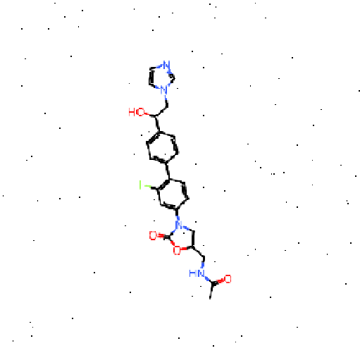 CC(=O)NCC1CN(c2ccc(-c3ccc(C(O)Cn4ccnc4)cc3)c(F)c2)C(=O)O1